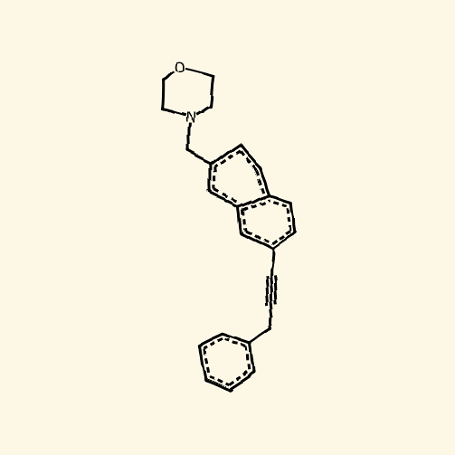 C(#Cc1ccc2ccc(CN3CCOCC3)cc2c1)Cc1ccccc1